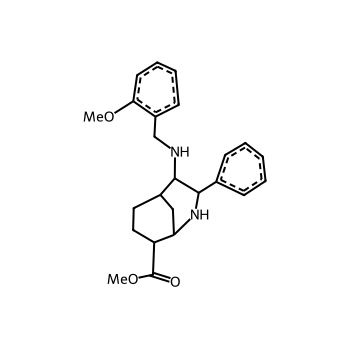 COC(=O)C1CCC2CC1NC(c1ccccc1)C2NCc1ccccc1OC